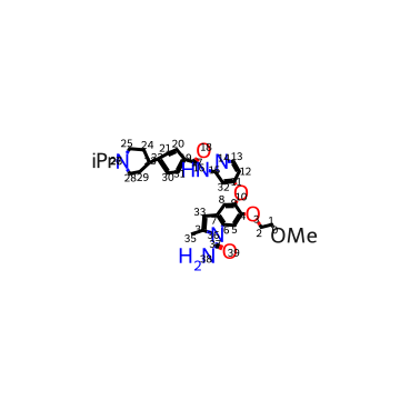 COCCOc1cc2c(cc1Oc1ccnc(NC(=O)c3ccc(C4CCN(C(C)C)CC4)cc3)c1)cc(C)n2C(N)=O